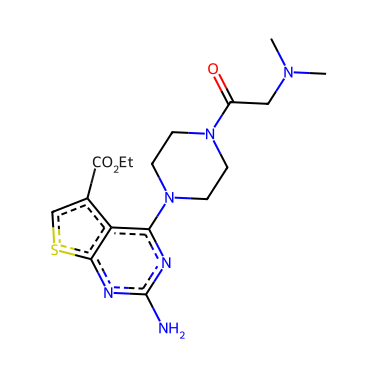 CCOC(=O)c1csc2nc(N)nc(N3CCN(C(=O)CN(C)C)CC3)c12